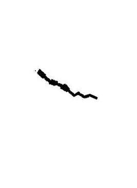 [C]#CC#CC#CCCCCC